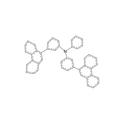 c1ccc(N(c2cccc(-c3cc4ccccc4c4ccccc34)c2)c2cccc(-c3cc4ccccc4c4ccccc34)c2)cc1